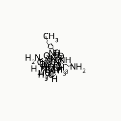 CCCCc1ccc(-c2ccc(OC(=O)N[C@@H](CCCCN)C(=O)N[C@H](C(=O)N[C@@H](N)C(=O)N[C@@H](CC(N)=O)C(=O)N[C@@H](N)B3OC4C[C@@H]5C[C@@H](C5(C)C)[C@]4(C)O3)[C@@H](C)O)cc2)cc1